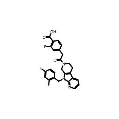 O=C(O)c1ccc(CC(=O)N2CCc3c(n(Cc4ccc(F)cc4F)c4ncccc34)C2)cc1F